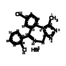 Br.Cc1nnc2n1-c1ccc(Cl)cc1C(c1ccccc1Cl)=NC2